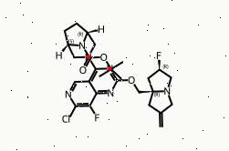 C=C1CN2C[C@H](F)C[C@@]2(COc2nc(N3C[C@H]4CC[C@@H](C3)N4C(=O)OC(C)(C)C)c3cnc(Cl)c(F)c3n2)C1